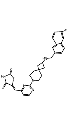 O=C1NC(=O)C(=Cc2ccnc(N3CCC4(CC3)CC(NCc3ccc5cc(F)ccc5c3)C4)n2)S1